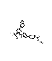 CC(C)(C)OC(=O)N1CCC(c2ccc(Nc3nc(N4CCCC5(COC5)C4)cnc3C(N)=O)cc2)CC1